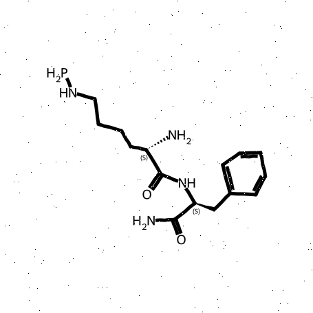 NC(=O)[C@H](Cc1ccccc1)NC(=O)[C@@H](N)CCCCNP